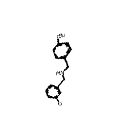 CC(C)(C)c1ccc(CNCc2cccc(Cl)c2)cc1